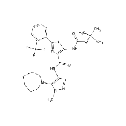 Cn1ncc(NC(=O)c2nc(-c3ccccc3C(F)(F)F)sc2NC(=O)OC(C)(C)C)c1N1CCCCCC1